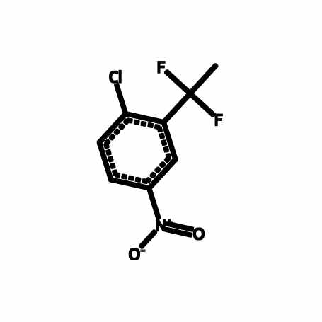 CC(F)(F)c1cc([N+](=O)[O-])ccc1Cl